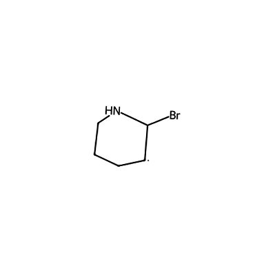 BrC1[CH]CCCN1